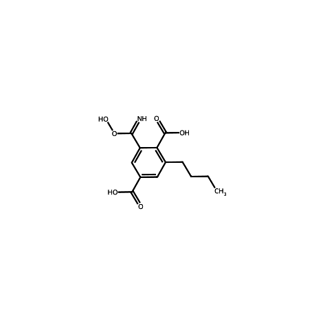 CCCCc1cc(C(=O)O)cc(C(=N)OO)c1C(=O)O